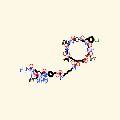 C/C=C(\C)[C@H]1OC(=O)C(C)(C)NC(=O)[C@H]([C@H](C)CC)NC(=O)CN(C)C(=O)[C@@H](Cc2ccc(Cl)cc2)N(C)C(=O)[C@H](C)NC(=O)[C@@H](CC(C)C)OC(=O)/C(C)=C/C[C@H](OC(=O)N(C)CCCCCCN(C)C(=O)OCc2ccc(NC(=O)[C@H](CCCNC(N)=O)NC(=O)[C@@H](N)C(C)C)cc2)[C@@H]1C